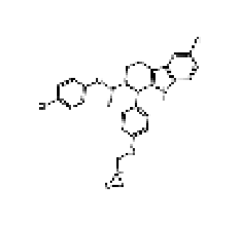 O=C(Oc1ccc(Cl)cc1)N1CCc2c([nH]c3ccc(Cl)cc23)C1c1ccc(OC[C@H]2CO2)cc1